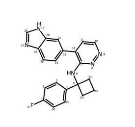 Fc1ccc(C2(Nc3nnccc3-c3ccc4nc[nH]c4c3)CCC2)cc1